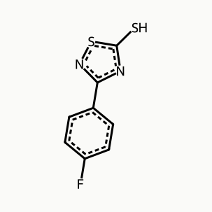 Fc1ccc(-c2nsc(S)n2)cc1